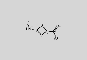 O=C(O)[C@H]1C[C@H](NI)C1